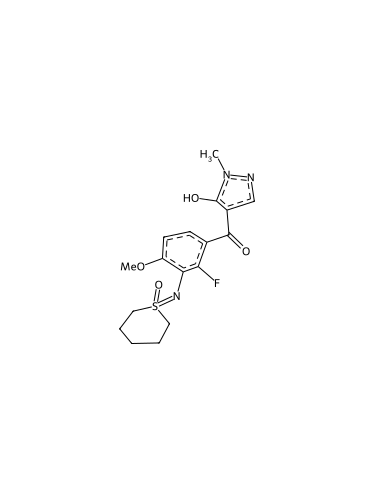 COc1ccc(C(=O)c2cnn(C)c2O)c(F)c1N=S1(=O)CCCCC1